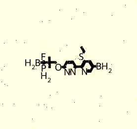 Bc1cnc(-c2ccc(OCC(C)(C)C(B)(F)P)nn2)c(SCC)c1